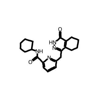 O=C(NC1CCCCC1)c1cccc(Cc2n[nH]c(=O)c3c2CCCC3)n1